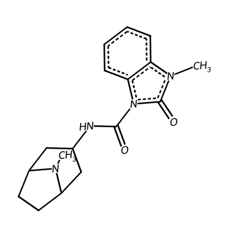 CN1C2CCC1CC(NC(=O)n1c(=O)n(C)c3ccccc31)C2